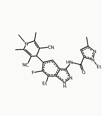 CCc1c(F)c(C2C(C#N)=C(C)N(C)C(C)=C2C#N)cc2c(NC(=O)c3cc(C)nn3CC)n[nH]c12